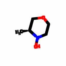 C[C@@H]1COCCN1O